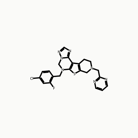 Fc1cc(Cl)ccc1CN1Cn2ncnc2-c2c1sc1c2CCN(Cc2ncccn2)C1